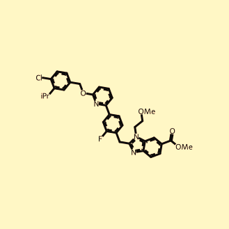 COCCn1c(Cc2ccc(-c3cccc(OCc4ccc(Cl)c(C(C)C)c4)n3)cc2F)nc2ccc(C(=O)OC)cc21